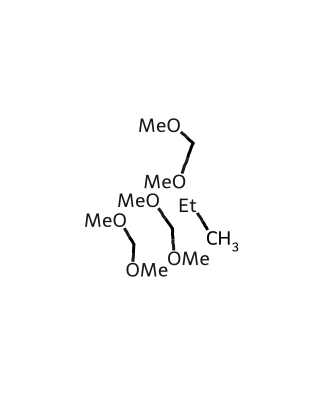 CCC.COCOC.COCOC.COCOC